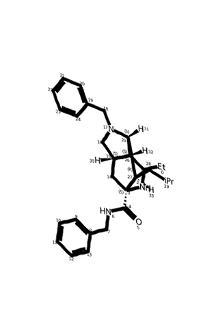 CCC1N[C@@]2(C(=O)NCc3ccccc3)C[C@@H]3CN(Cc4ccccc4)[C@@H]([C@H]13)[C@H]2CC(C)C